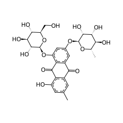 Cc1cc(O)c2c(c1)C(=O)c1cc(O[C@@H]3O[C@@H](C)[C@H](O)[C@@H](O)[C@H]3O)cc(O[C@@H]3O[C@H](CO)[C@@H](O)[C@H](O)[C@H]3O)c1C2=O